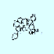 CC1CN(c2ccncc2NCc2ccc(F)c(-c3c(F)cc(C4(F)CCOCC4)cc3F)n2)CC(N)C1O